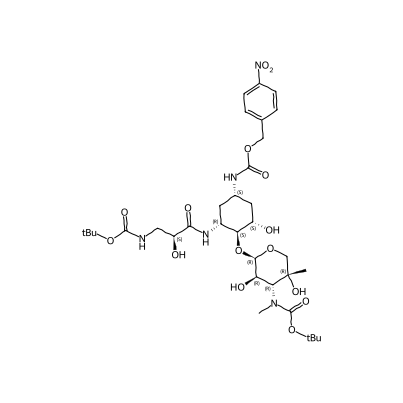 CN(C(=O)OC(C)(C)C)[C@@H]1[C@@H](O)[C@@H](O[C@@H]2[C@@H](O)C[C@@H](NC(=O)OCc3ccc([N+](=O)[O-])cc3)C[C@H]2NC(=O)[C@@H](O)CNC(=O)OC(C)(C)C)OC[C@]1(C)O